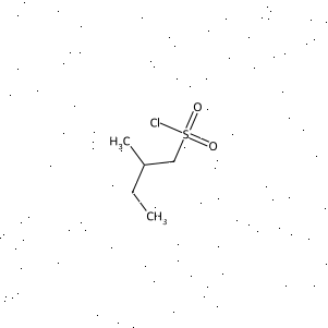 CCC(C)CS(=O)(=O)Cl